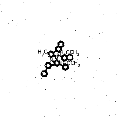 Cc1cc2c3c(c1)-n1c4ccc(-c5ccccc5)cc4c4cc(-c5ccccc5)cc(c41)B3N(c1ccc3c(c1)C(C)(C)CCC3(C)C)c1cc3ccccc3cc1-2